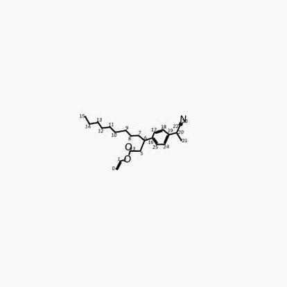 C=COC(=O)CC(CCCCCCCCC)c1ccc(C(C)C#N)cc1